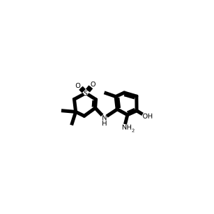 Cc1ccc(O)c(N)c1NC1=CS(=O)(=O)CC(C)(C)C1